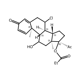 CCC(=O)O[C@]1(C(C)=O)CC[C@H]2[C@@H]3C(Cl)CC4=CC(=O)C=C[C@]4(C)[C@H]3C(O)C[C@@]21C